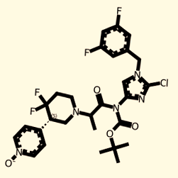 CC(C(=O)N(C(=O)OC(C)(C)C)c1cn(Cc2cc(F)cc(F)c2)c(Cl)n1)N1CCC(F)(F)[C@@H](c2cc[n+]([O-])cc2)C1